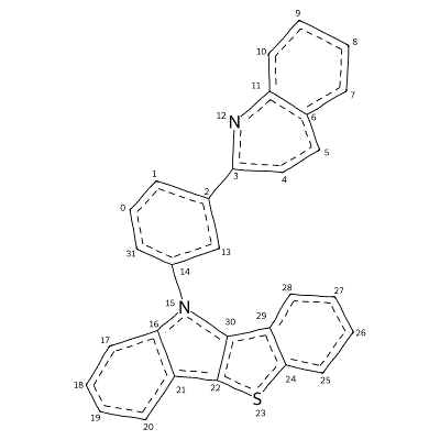 c1cc(-c2ccc3ccccc3n2)cc(-n2c3ccccc3c3sc4ccccc4c32)c1